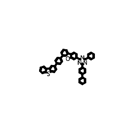 c1ccc(-c2ccc(-c3nc(-c4ccccc4)nc(-c4ccc5c(c4)oc4c(-c6ccc(-c7ccc8sc9ccccc9c8c7)cc6)cccc45)n3)cc2)cc1